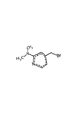 CN(C)c1cc(CBr)ccn1